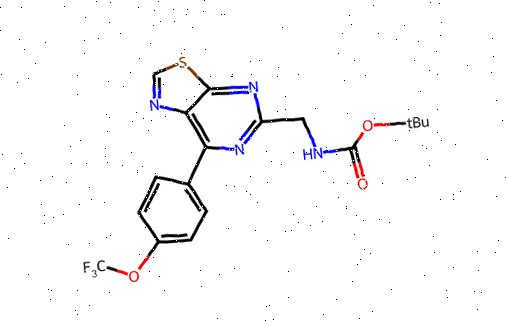 CC(C)(C)OC(=O)NCc1nc(-c2ccc(OC(F)(F)F)cc2)c2ncsc2n1